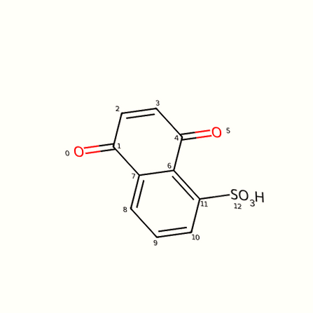 O=C1C=CC(=O)c2c1cccc2S(=O)(=O)O